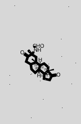 CC1(NC=O)C[C@@]2(C)C(CC[C@@H]3[C@@H]2CC[C@]2(C)C(=O)CC[C@@H]32)CC1=O